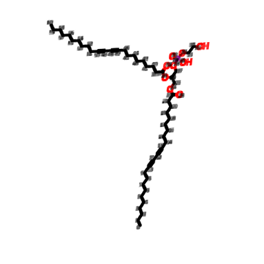 CCCCCCCCCCC#CC#CCCCCCCCCC(=O)OC[C@H](COP(=O)(O)OCCO)OC(=O)CCCCCCCCC#CC#CCCCCCCCCCC